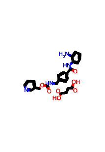 Nc1ccccc1NC(=O)c1ccc(CNC(=O)OCc2cccnc2)cc1.O=C(O)CCC(=O)O